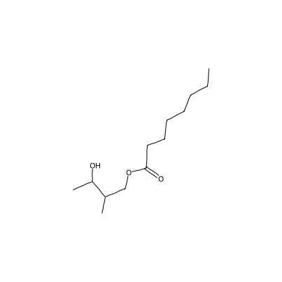 CCCCCCCC(=O)OCC(C)C(C)O